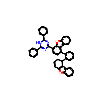 C1=Cc2oc3ccccc3c2C(c2ccccc2-c2ccc(C3=NC(c4ccccc4)NC(c4ccccc4)=N3)c3oc4ccccc4c23)C1